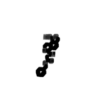 CCc1c(C(=O)NCC(=O)OCc2ccccc2)ccc2c1B(O)OC2